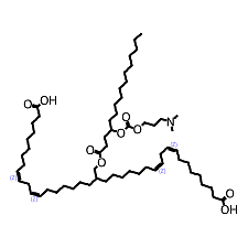 CCCCCCCCCCCCC(CCC(=O)OCC(CCCCCC/C=C\C/C=C\CCCCCCCC(=O)O)CCCCCC/C=C\C/C=C\CCCCCCCC(=O)O)OC(=O)OCCCN(C)C